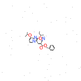 CCC(C)Oc1nc2c(OC(C)C)cccn2c1C=C(C#N)C(=O)OCc1ccccc1